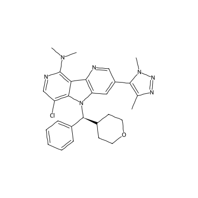 Cc1nnn(C)c1-c1cnc2c3c(N(C)C)ncc(Cl)c3n([C@H](c3ccccc3)C3CCOCC3)c2c1